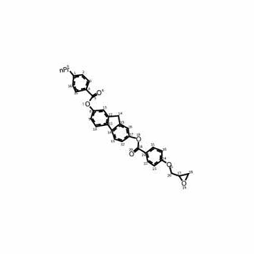 CCCc1ccc(C(=O)Oc2ccc3c(c2)Cc2cc(OC(=O)c4ccc(OCC5CO5)cc4)ccc2-3)cc1